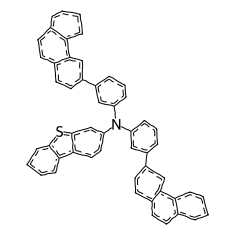 c1cc(-c2ccc3ccc4ccccc4c3c2)cc(N(c2cccc(-c3ccc4ccc5ccccc5c4c3)c2)c2ccc3c(c2)sc2ccccc23)c1